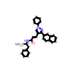 O=C(/C=C/c1cn(-c2ccccc2)nc1-c1ccc2ccccc2c1)NC(Cc1ccccc1)C(=O)O